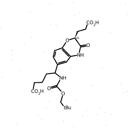 CC(C)(C)COC(=O)NC(CCCC(=O)O)c1ccc2c(c1)NC(=O)[C@H](CCC(=O)O)O2